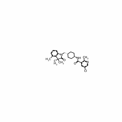 Cc1cccc2c1C(C)(C)C(=O)N2C[C@H]1CC[C@H](NC(=O)c2cc(Cl)cnc2C)CC1